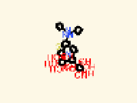 Oc1c(O)c(O)c(-c2cc(-c3c(O)c(O)c(O)c(O)c3O)c3c(c2)c2ccccc2n3-c2cccc3sc4cc(-c5nc(-c6ccccc6)nc(-c6ccccc6)n5)ccc4c23)c(O)c1O